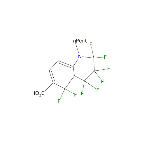 CCCCCN1C2=CC=C(C(=O)O)C(F)(F)C2C(F)(F)C(F)(F)C1(F)F